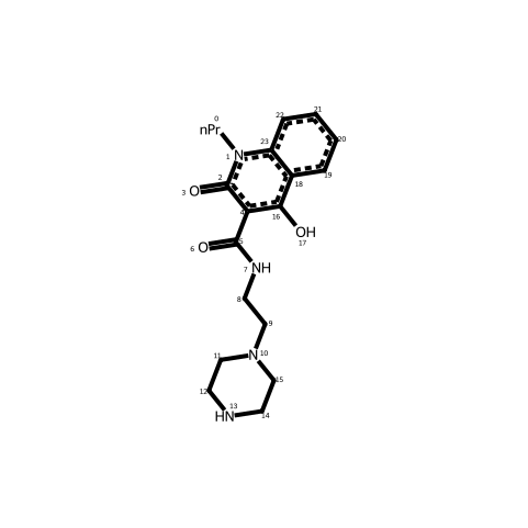 CCCn1c(=O)c(C(=O)NCCN2CCNCC2)c(O)c2ccccc21